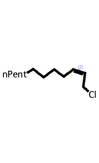 CCCCCCCCC/C=C\CCl